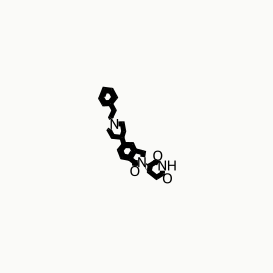 O=C1CC[C@H](N2Cc3cc(C4CCN(CCc5ccccc5)CC4)ccc3C2=O)C(=O)N1